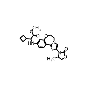 COC(=O)C(Nc1ccc2c(c1)OCCn1cc(N3C(=O)OC[C@H]3C)nc1-2)C1CCC1